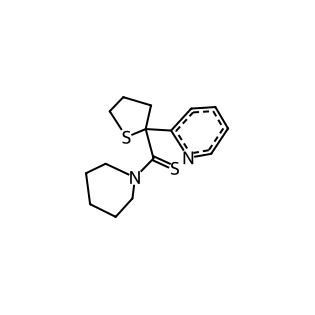 S=C(N1CCCCC1)C1(c2ccccn2)CCCS1